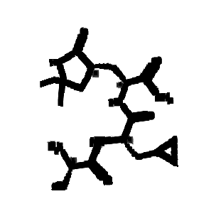 CC1(C)C[C@@H](C[C@H](NC(=O)[C@H](CC2CC2)NC(=O)[C@@H](N)C(C)(C)C)C(N)=O)C(=O)N1